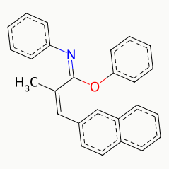 CC(=Cc1ccc2ccccc2c1)C(=Nc1ccccc1)Oc1ccccc1